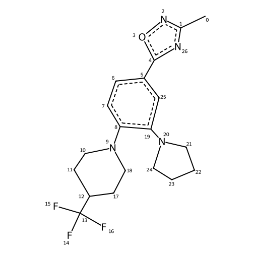 Cc1noc(-c2ccc(N3CCC(C(F)(F)F)CC3)c(N3CCCC3)c2)n1